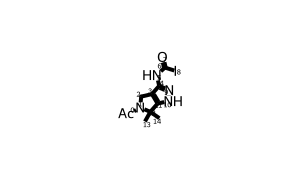 CC(=O)N1Cc2c(NC(=O)I)n[nH]c2C1(C)C